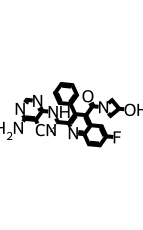 C[C@H](Nc1ncnc(N)c1C#N)c1nc2ccc(F)cc2c(C(=O)N2CC(O)C2)c1-c1ccccc1